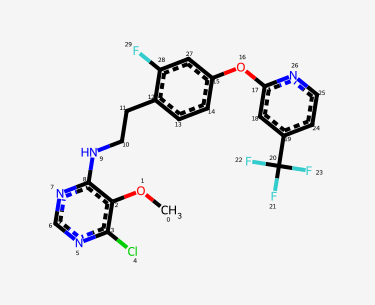 COc1c(Cl)ncnc1NCCc1ccc(Oc2cc(C(F)(F)F)ccn2)cc1F